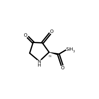 O=C1CN[C@H](C(=O)[SiH3])C1=O